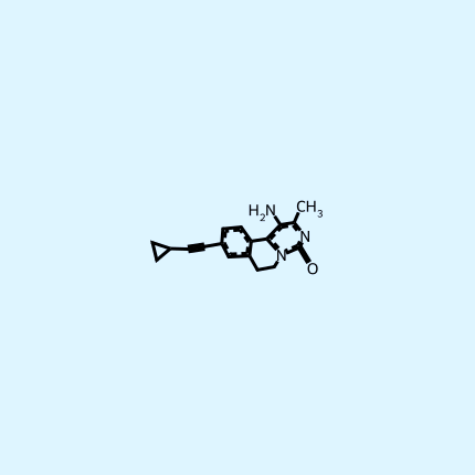 Cc1nc(=O)n2c(c1N)-c1ccc(C#CC3CC3)cc1CC2